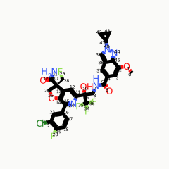 COc1cc(C(=O)NCC(O)(c2cc3c(c(-c4ccc(F)c(Cl)c4)n2)OC[C@]3(CF)C(N)=O)C(F)(F)F)cc2cn(C3CC3)nc12